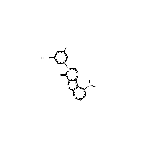 Cc1cc(F)cc(-n2cnc3c(sc4nccc(N(C)C)c43)c2=O)c1